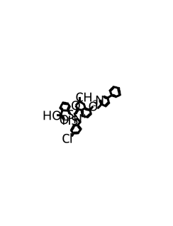 CC1Cc2c(OCc3ccc(-c4ccccc4)cn3)ccc3c2C(=C(Sc2ccccc2C(=O)O)[N+]3(S)Cc2ccc(Cl)cc2)O1